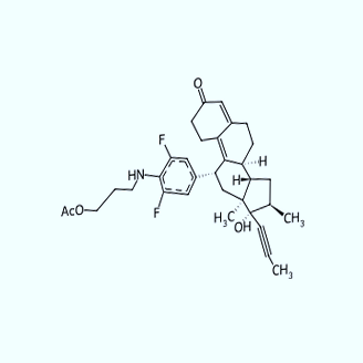 CC#C[C@]1(O)[C@H](C)C[C@H]2[C@@H]3CCC4=CC(=O)CCC4=C3[C@@H](c3cc(F)c(NCCCOC(C)=O)c(F)c3)C[C@@]21C